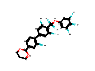 Fc1cc(C2OCCCO2)ccc1-c1cc(F)c(C(F)(F)Oc2cc(F)c(F)c(F)c2)c(F)c1